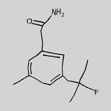 Cc1cc(C(N)=O)cc(C(C)(C)F)c1